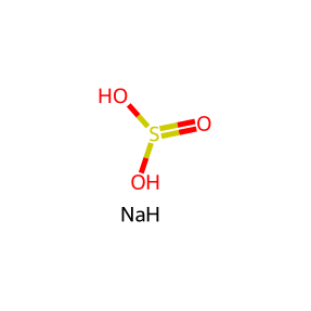 O=S(O)O.[NaH]